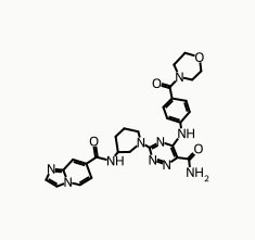 NC(=O)c1nnc(N2CCCC(NC(=O)c3ccn4ccnc4c3)C2)nc1Nc1ccc(C(=O)N2CCOCC2)cc1